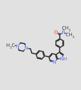 CN1CCN(CCc2ccc(-c3cnc4[nH]cc(-c5ccc(C(=O)N(C)C)cc5)c4c3)cc2)CC1